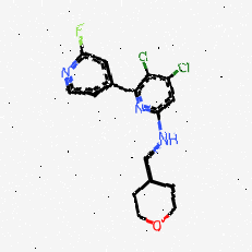 Fc1cc(-c2nc(NCC3CCOCC3)cc(Cl)c2Cl)ccn1